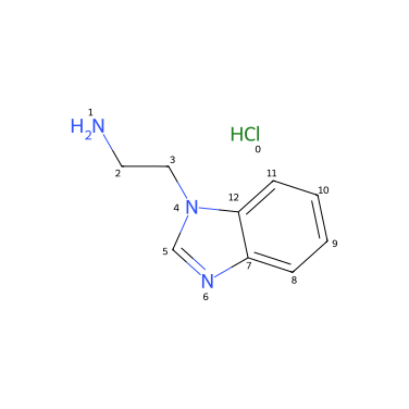 Cl.NCCn1cnc2ccccc21